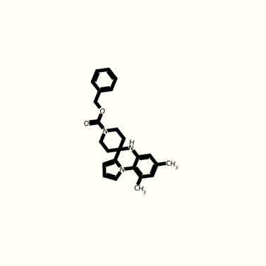 Cc1cc(C)c2c(c1)NC1(CCN(C(=O)OCc3ccccc3)CC1)c1cccn1-2